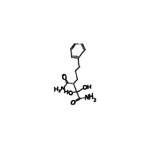 NC(=O)C(CCCc1ccccc1)C(O)(O)C(N)=O